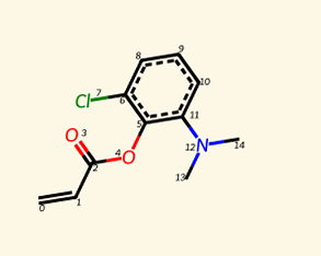 C=CC(=O)Oc1c(Cl)cccc1N(C)C